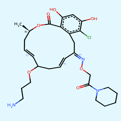 C[C@@H]1C/C=C/C(OCCCN)C/C=C/C(=N\OCC(=O)N2CCCCC2)Cc2c(Cl)c(O)cc(O)c2C(=O)O1